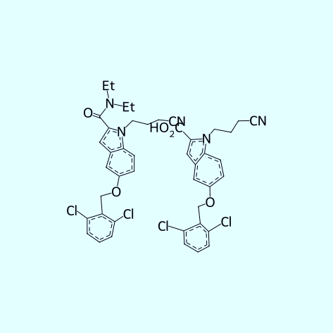 CCN(CC)C(=O)c1cc2cc(OCc3c(Cl)cccc3Cl)ccc2n1CCCC#N.N#CCCCn1c(C(=O)O)cc2cc(OCc3c(Cl)cccc3Cl)ccc21